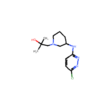 CC(C)(O)CN1CCCC(Nc2ccc(Cl)nn2)C1